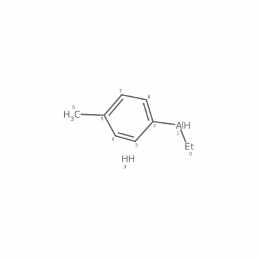 C[CH2][AlH][c]1ccc(C)cc1.[HH]